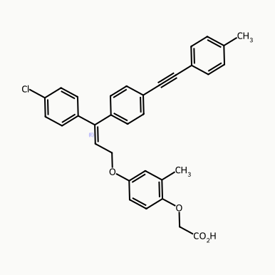 Cc1ccc(C#Cc2ccc(/C(=C\COc3ccc(OCC(=O)O)c(C)c3)c3ccc(Cl)cc3)cc2)cc1